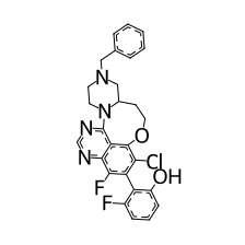 Oc1cccc(F)c1-c1c(Cl)c2c3c(ncnc3c1F)N1CCN(Cc3ccccc3)CC1CCO2